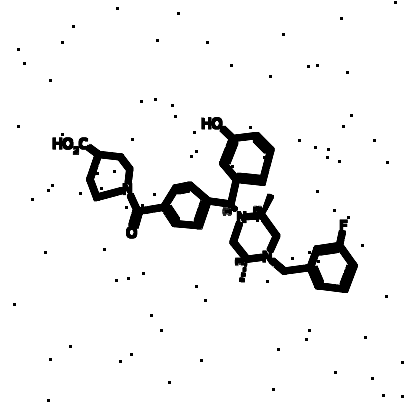 C[C@@H]1CN([C@H](c2ccc(C(=O)N3CCC(C(=O)O)CC3)cc2)c2cccc(O)c2)[C@@H](C)CN1Cc1cccc(F)c1